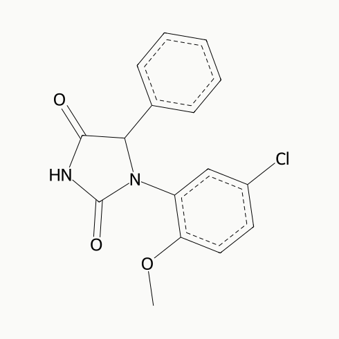 COc1ccc(Cl)cc1N1C(=O)NC(=O)C1c1ccccc1